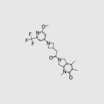 COc1cc(N2CC(CC(=O)N3Cc4c(C)c(C)c(=O)n(C)c4C3)C2)cc(C(F)(F)F)n1